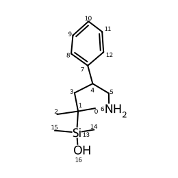 CC(C)(CC(CN)c1ccccc1)[Si](C)(C)O